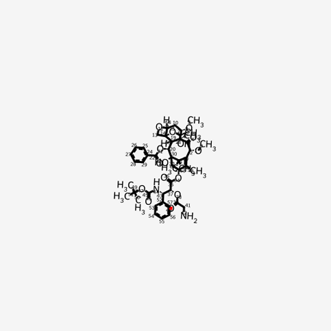 CO[C@H]1C(=O)[C@]2(C)[C@@H](OC)C[C@H]3OC[C@@]3(O[C@@H](C)O)[C@H]2[C@H](OC(=O)c2ccccc2)[C@@]2(O)C[C@H](OC(=O)[C@H](OC(=O)CN)[C@@H](NC(=O)OC(C)(C)C)c3ccccc3)C(C)=C1C2(C)C